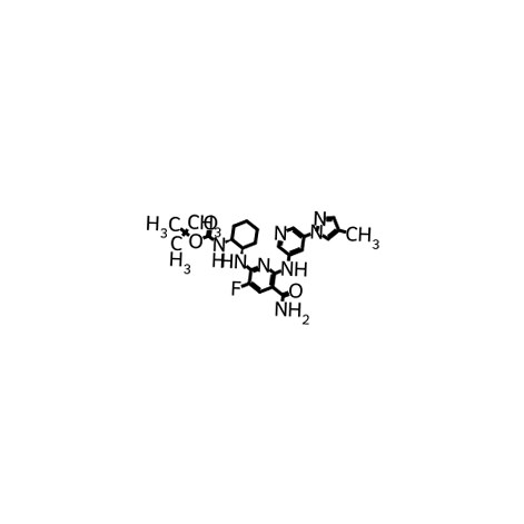 Cc1cnn(-c2cncc(Nc3nc(N[C@@H]4CCCC[C@@H]4NC(=O)OC(C)(C)C)c(F)cc3C(N)=O)c2)c1